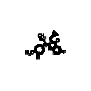 CCC[C@@H](c1nc2ncc(F)cc2c(=O)n1CC1CC1)N1CCNC(C)CC1